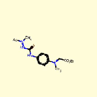 CCOC(=O)CN(C)c1ccc(NC(=S)NN(C)C(C)=O)cc1